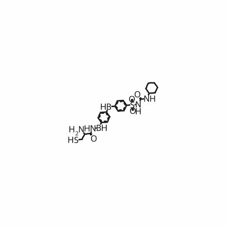 NC(CS)C(=O)NBc1ccc(Bc2ccc(S(=O)(=O)NC(=O)NC3CCCCC3)cc2)cc1